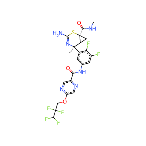 CNC(=O)[C@]12CC1[C@@](C)(c1cc(NC(=O)c3cnc(OCC(F)(F)C(F)F)cn3)cc(F)c1F)N=C(N)S2